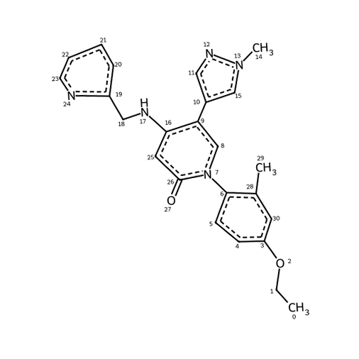 CCOc1ccc(-n2cc(-c3cnn(C)c3)c(NCc3ccccn3)cc2=O)c(C)c1